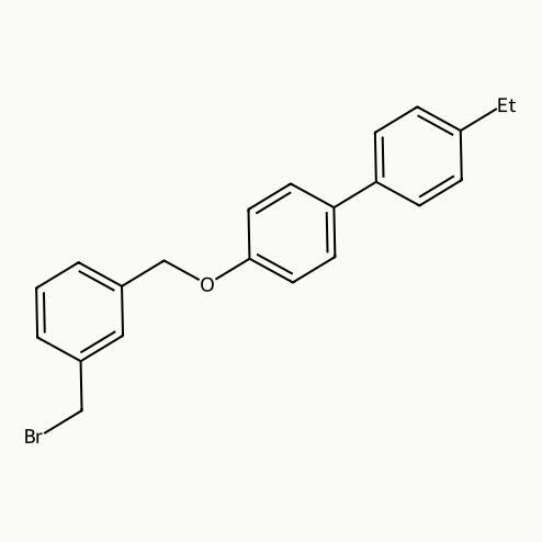 CCc1ccc(-c2ccc(OCc3cccc(CBr)c3)cc2)cc1